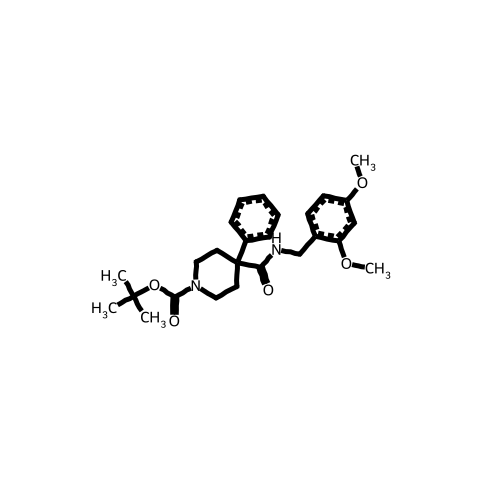 COc1ccc(CNC(=O)C2(c3ccccc3)CCN(C(=O)OC(C)(C)C)CC2)c(OC)c1